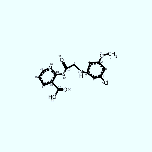 COc1cc(Cl)cc(NCC(=O)Sc2ncccc2C(=O)O)c1